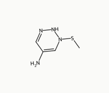 CSN1C=C(N)C=NN1